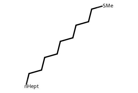 [CH2]CCCCCCCCCCCCCCCSC